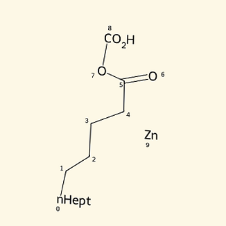 CCCCCCCCCCCC(=O)OC(=O)O.[Zn]